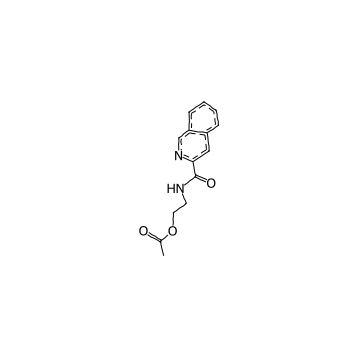 CC(=O)OCCNC(=O)c1cc2ccccc2cn1